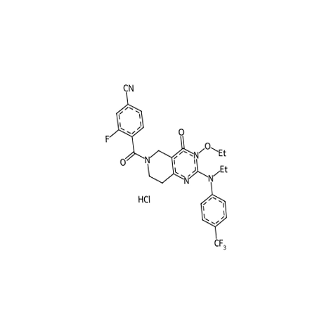 CCOn1c(N(CC)c2ccc(C(F)(F)F)cc2)nc2c(c1=O)CN(C(=O)c1ccc(C#N)cc1F)CC2.Cl